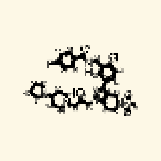 CS(=O)(=O)N1CCc2c(c(-c3ccc(Cl)c(CNC(=O)c4ccc(F)cc4)c3)nn2CC(O)CN2CCC(N3CCCC3)CC2)C1